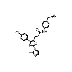 Cc1nccn1-c1nc(-c2ccc(Cl)cc2)c(CCC(=O)Nc2ccc(CC#N)cc2)o1